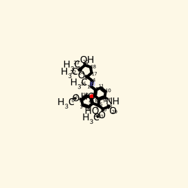 COc1ccc(C2(O)c3c(ccc(/C=C/C4(C)CCC(O)C(C)(C)O4)c3O)NC(=O)C2OC)cc1